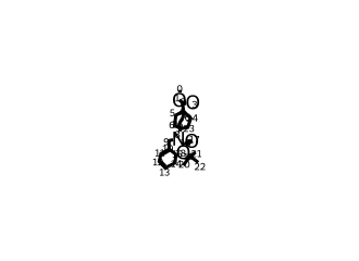 COC(=O)C12CCC(N(CC3=CC=CCC3)C(=O)OC(C)(C)C)(CC1)CC2